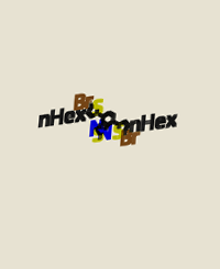 CCCCCCc1cc(-c2ccc(-c3cc(CCCCCC)c(Br)s3)c3nsnc23)sc1Br